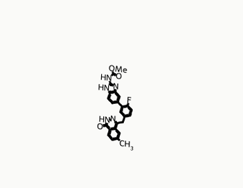 COC(=O)Nc1nc2cc(-c3cc(Cc4n[nH]c(=O)c5ccc(C)cc45)ccc3F)ccc2[nH]1